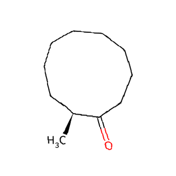 C[C@H]1CCCCCCCCC1=O